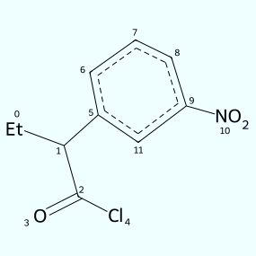 CCC(C(=O)Cl)c1cccc([N+](=O)[O-])c1